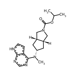 CC(C)OC(=O)N1C[C@H]2C[C@@H](N(C)c3ncnc4[nH]ccc34)C[C@H]2C1